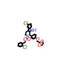 O=C(OCc1ccccc1Cl)N1CCc2c([nH]c3ccc(Cl)cc23)C1c1ccc(OCC2OCCO2)cc1